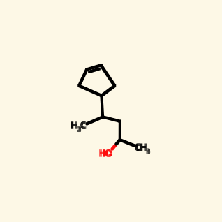 CC(O)CC(C)C1CC=CC1